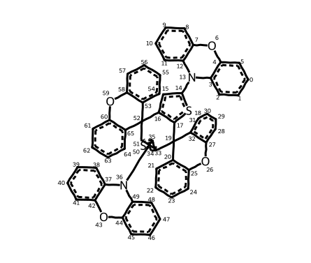 c1ccc2c(c1)Oc1ccccc1N2c1cc2c(s1)C1(c3ccccc3Oc3ccccc31)c1cc(N3c4ccccc4Oc4ccccc43)sc1C21c2ccccc2Oc2ccccc21